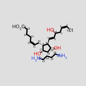 CC/C=C\C[C@H](O)/C=C/[C@@H]1[C@@H](C/C=C\CCCC(=O)O)[C@@H](O)C[C@H]1O.NCCCCN